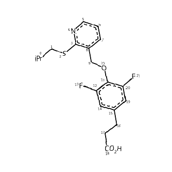 CC(C)CSc1ncccc1COc1c(F)cc(CCC(=O)O)cc1F